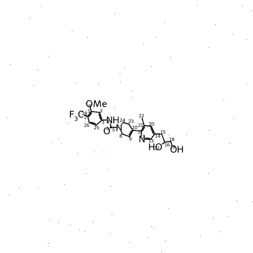 COc1cc(NC(=O)N2CC=C(c3ncc(CC(O)CO)cc3C)CC2)ccc1C(F)(F)F